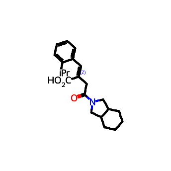 CC(C)c1ccccc1/C=C(/CC(=O)N1CC2CCCCC2C1)C(=O)O